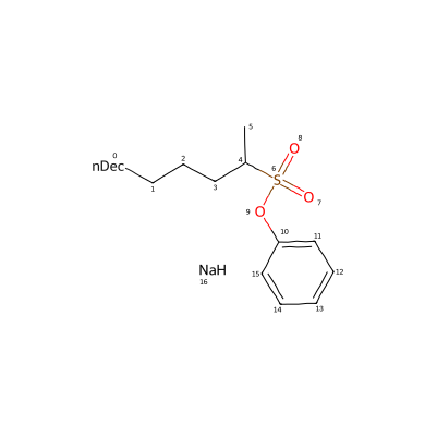 CCCCCCCCCCCCCC(C)S(=O)(=O)Oc1ccccc1.[NaH]